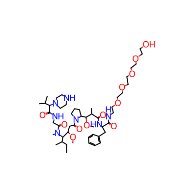 CCC(C)C(C(CC(=O)N1CCCC1C(OC)C(C)C(=O)NC(Cc1ccccc1)C(=O)NCCOCCOCCOCCOCCO)OC)N(C)C(=O)CNC(=O)C(C(C)C)N1CCNCC1